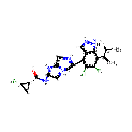 C=C(c1c(F)c(Cl)c(-c2cn3cc(NC(=O)[C@@H]4C[C@@H]4F)nc3cn2)c2cn[nH]c12)C(C)C